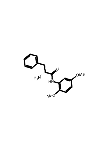 COc1ccc(OC)c(NC(=O)[C@H](N)Cc2ccccc2)c1